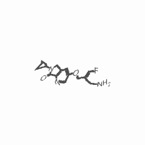 NCC(=CF)COc1cnc2c(c1)CN(C1CC1)C2=O